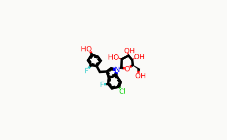 OC[C@H]1O[C@@H](n2cc(Cc3ccc(O)cc3F)c3c(F)cc(Cl)cc32)[C@H](O)[C@@H](O)[C@@H]1O